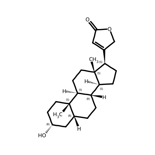 C[C@]12CC[C@@H](O)C[C@H]1CC[C@@H]1[C@@H]2CC[C@]2(C)[C@@H](C3=CC(=O)OC3)CC[C@@H]12